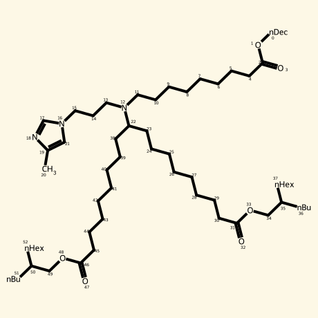 CCCCCCCCCCOC(=O)CCCCCCCCN(CCCn1cnc(C)c1)C(CCCCCCCCC(=O)OCC(CCCC)CCCCCC)CCCCCCCCC(=O)OCC(CCCC)CCCCCC